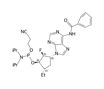 CC[C@H]1C[C@@H](n2cnc3c(NC(=O)c4ccccc4)ncnc32)[C@H](F)[C@@H]1OP(OCCC#N)N(C(C)C)C(C)C